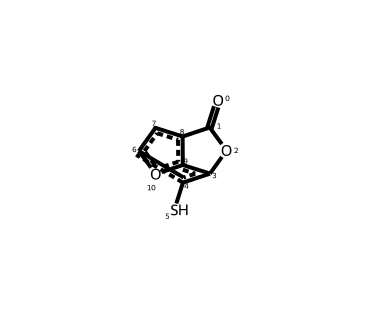 O=C1Oc2c(S)c3cc1c2o3